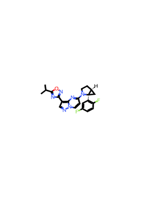 CC(C)c1nc(-c2cnn3ccc(N4CC[C@H]5C[C@]54c4cc(F)ccc4F)nc23)no1